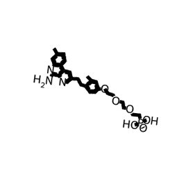 Cc1ccc2c(c1)nc(N)c1ncc(CCc3ccc(OCCOCCOCCP(=O)(O)O)cc3C)cc12